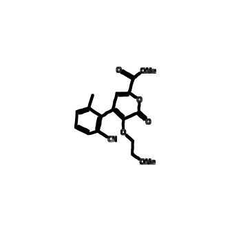 COCCOc1c(-c2c(C)cccc2C#N)cc(C(=O)OC)oc1=O